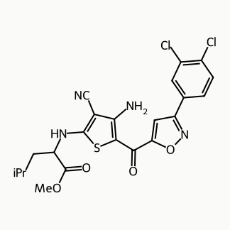 COC(=O)C(CC(C)C)Nc1sc(C(=O)c2cc(-c3ccc(Cl)c(Cl)c3)no2)c(N)c1C#N